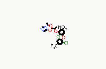 CC(Oc1cc(Oc2c(Cl)cc(C(F)(F)F)cc2Cl)ccc1[N+](=O)[O-])C(=O)OC(C)n1ccnc1